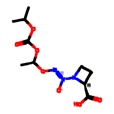 CC(C)OC(=O)OC(C)O/N=[N+](\[O-])N1CC[C@H]1C(=O)O